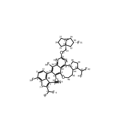 N#Cc1c(C(F)F)sc2c(F)ccc(-c3c(Cl)c4c5c(nc(OC[C@@]67CCCN6C[C@H](F)C7)nc5c3F)N3CCC(C(F)F)C3CCO4)c12